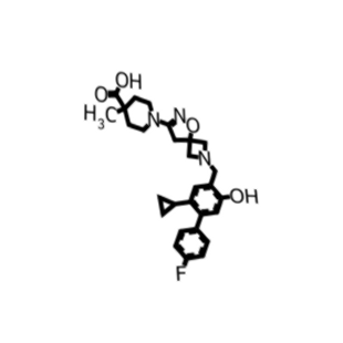 CC1(C(=O)O)CCN(C2=NOC3(C2)CN(Cc2cc(C4CC4)c(-c4ccc(F)cc4)cc2O)C3)CC1